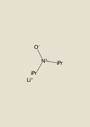 CC(C)[N+]([O-])C(C)C.[Li+]